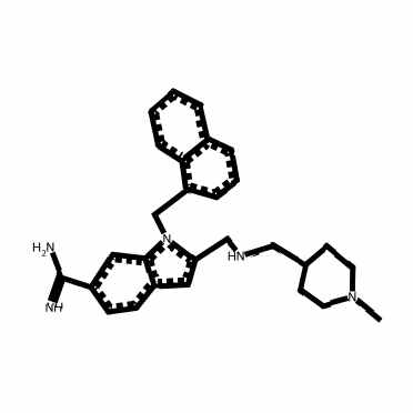 CN1CCC(CNCc2cc3ccc(C(=N)N)cc3n2Cc2cccc3ccccc23)CC1